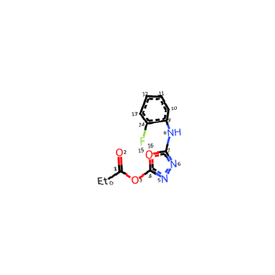 CCC(=O)Oc1nnc(Nc2ccccc2F)o1